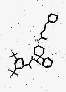 CC(NC(=O)[C@]1(c2ccccc2)CC[C@@H](NC(=O)CCCc2ccccc2)CC1)c1cc(C(F)(F)F)cc(C(F)(F)F)c1